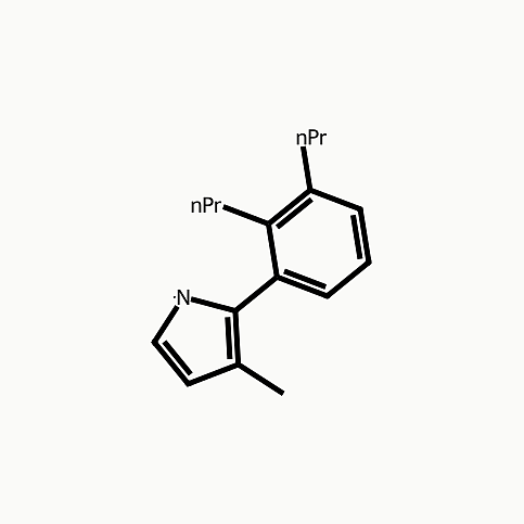 CCCc1cccc(C2=C(C)C=C[N]2)c1CCC